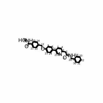 O=C(Cc1ccc(-c2ccc(OCc3ccc(C(=O)NO)cc3)cc2)cn1)NCc1ccccc1